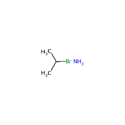 CC(C)Br.N